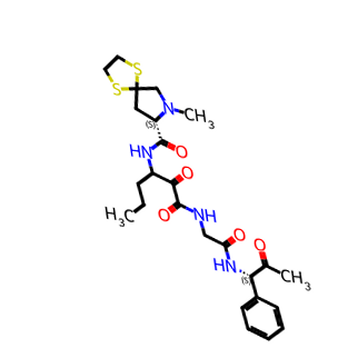 CCCC(NC(=O)[C@@H]1CC2(CN1C)SCCS2)C(=O)C(=O)NCC(=O)N[C@H](C(C)=O)c1ccccc1